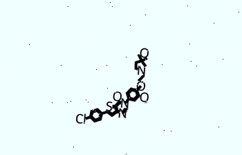 COc1cc(-n2cnc3cc(-c4ccc(Cl)cc4)sc3c2=O)ccc1OCCN1CCC2(COC2)C1